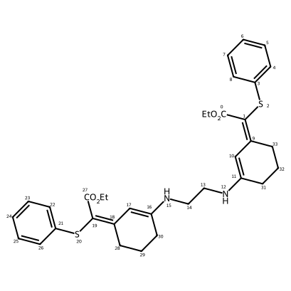 CCOC(=O)/C(Sc1ccccc1)=C1\C=C(NCCNC2=C/C(=C(/Sc3ccccc3)C(=O)OCC)CCC2)CCC1